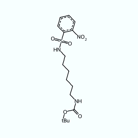 CC(C)(C)OC(=O)NCCCCCCNS(=O)(=O)c1ccccc1[N+](=O)[O-]